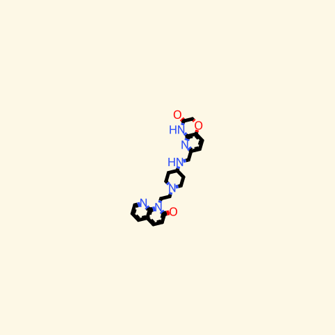 O=C1COc2ccc(CNC3CCN(CCn4c(=O)ccc5cccnc54)CC3)nc2N1